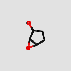 [O]C1CCC2OC12